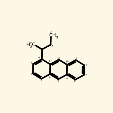 [CH2]C(CC)c1cccc2cc3ccccc3cc12